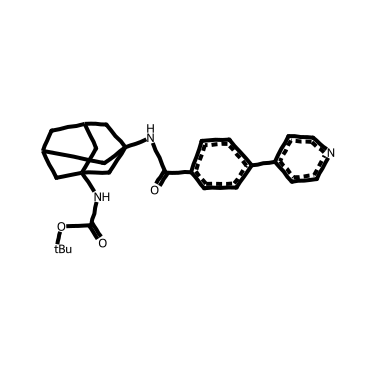 CC(C)(C)OC(=O)NC12CC3CC(C1)CC(NC(=O)c1ccc(-c4ccncc4)cc1)(C3)C2